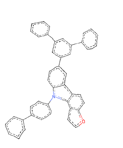 c1ccc(-c2ccc(-n3c4ccc(-c5cc(-c6ccccc6)cc(-c6ccccc6)c5)cc4c4ccc5occc5c43)cc2)cc1